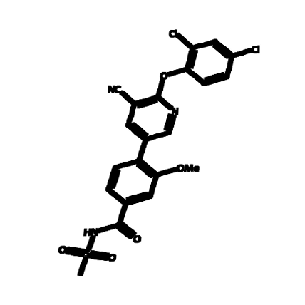 COc1cc(C(=O)NS(C)(=O)=O)ccc1-c1cnc(Oc2ccc(Cl)cc2Cl)c(C#N)c1